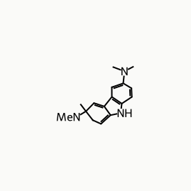 CNC1(C)C=c2c([nH]c3ccc(N(C)C)cc23)=CC1